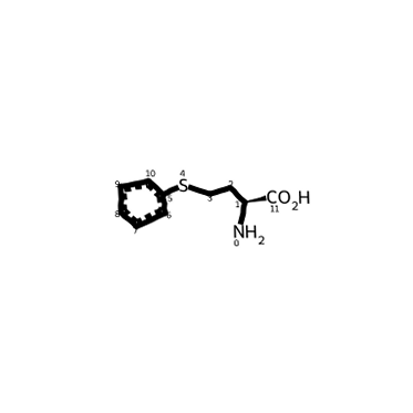 N[C@@H](CCSc1ccccc1)C(=O)O